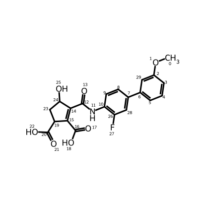 COc1cccc(-c2ccc(NC(=O)C3=C(C(=O)O)C(C(=O)O)CC3O)c(F)c2)c1